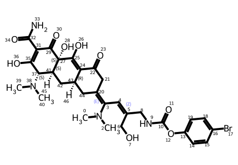 CN(C)C(/C=C(\CO)CNC(=O)Oc1ccc(Br)cc1)=C1/CC(=O)C2=C(O)[C@]3(O)C(=O)C(C(N)=O)=C(O)[C@@H](N(C)C)[C@@H]3C[C@@H]2C1